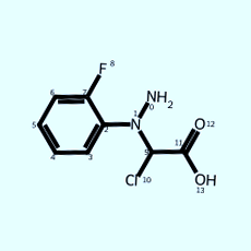 NN(c1ccccc1F)C(Cl)C(=O)O